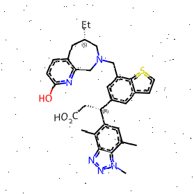 CC[C@H]1Cc2ccc(O)nc2CN(Cc2cc([C@@H](CC(=O)O)c3cc(C)c4c(nnn4C)c3C)cc3ccsc23)C1